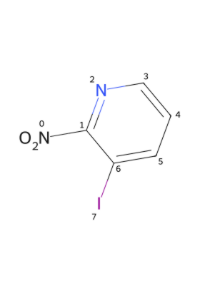 O=[N+]([O-])c1ncccc1I